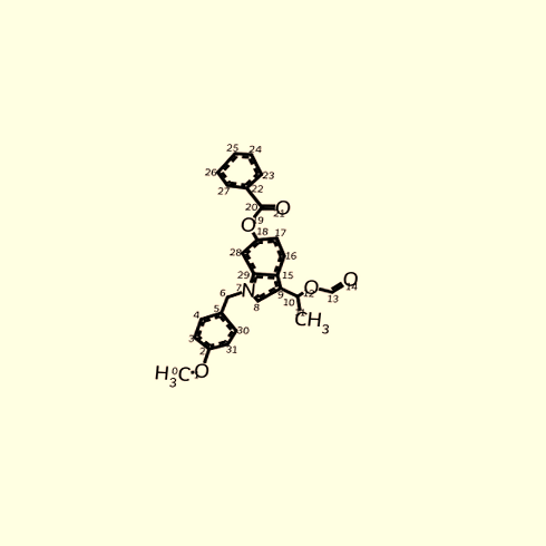 COc1ccc(Cn2cc(C(C)OC=O)c3ccc(OC(=O)c4ccccc4)cc32)cc1